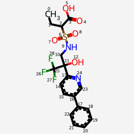 CCC(C(=O)O)S(=O)(=O)NCC(O)(c1ccc(-c2ccccc2)cn1)C(F)(F)F